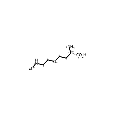 CCNCCOCC[C@H](N)C(=O)O